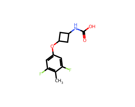 Cc1c(F)cc(OC2CC(NC(=O)O)C2)cc1F